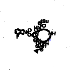 CC(C)(C)OC(=O)N[C@H]1CCCNC/C=C\[C@@H]2C[C@@]2(C(=O)NS(=O)(=O)C2CC2)NC(=O)C2C[C@@H](OC(=O)N3Cc4cccc(F)c4C3)CN2C1=O